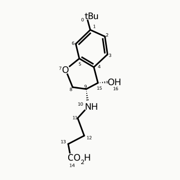 CC(C)(C)c1ccc2c(c1)OC[C@@H](NCCCC(=O)O)[C@H]2O